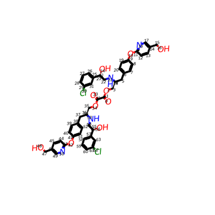 O=C(OC[C@H](Cc1ccc(Oc2ccc(CO)cn2)cc1)NC[C@@H](O)c1cccc(Cl)c1)C(=O)OC[C@H](Cc1ccc(Oc2ccc(CO)cn2)cc1)NC[C@@H](O)c1cccc(Cl)c1